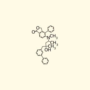 CC(CC(C)(O)Cc1cccc(-c2ccccc2)c1)N(C)c1ccc2c(c1-c1ccccc1)COC2=O